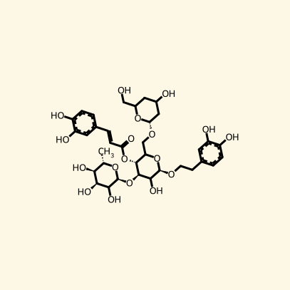 C[C@@H]1O[C@@H](O[C@@H]2C(O)[C@H](OCCc3ccc(O)c(O)c3)OC(CO[C@H]3CC(O)CC(CO)O3)[C@H]2OC(=O)/C=C/c2ccc(O)c(O)c2)C(O)[C@@H](O)[C@H]1O